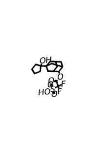 O=C(OC1C2CC3CC1CC(C1(O)CCCC1)(C3)C2)C(F)(F)S(=O)(=O)O